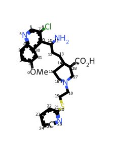 COc1ccc2ncc(Cl)c(C(N)CCC3CCN(CCSc4ccccn4)CC3C(=O)O)c2c1